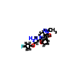 CN1N=C2CCN(C(=O)C(N)CCOc3ccc(F)cc3)C[C@@]2(Cc2ccccc2)C1=O